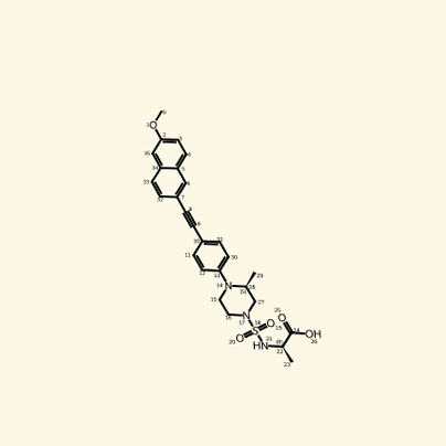 COc1ccc2cc(C#Cc3ccc(N4CCN(S(=O)(=O)N[C@H](C)C(=O)O)C[C@@H]4C)cc3)ccc2c1